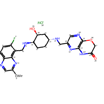 COc1cnc2ccc(F)c(CN[C@@H]3CC[C@@H](NCc4cnc5c(n4)NC(=O)CO5)C[C@@H]3O)c2n1.Cl